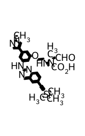 CC(C=O)N(NCCOc1cc(Nc2ncc3cc(C#C[Si](C)(C)C)ccc3n2)cc(-c2cnn(C)c2)c1)C(=O)O